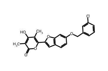 Cc1c(-c2cc3ccc(OCc4cccc(Cl)c4)cc3o2)oc(=O)c(C)c1O